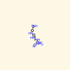 C=C(NC(=C/N)/C=C(\N)N1CCN(C)CC1)c1cc2ccc(Nc3ccc(-c4cn[nH]c4)cc3)cc2[nH]1